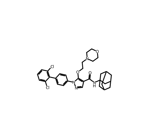 O=C(NC12CC3CC(CC(C3)C1)C2)c1cnn(-c2ccc(-c3c(Cl)cccc3Cl)cc2)c1OCCN1CCOCC1